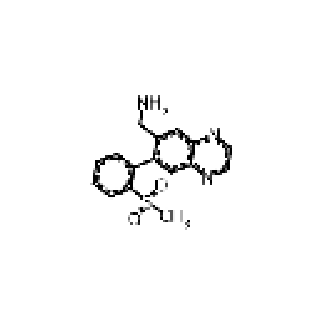 CS(=O)(=O)c1ccccc1-c1cc2nccnc2cc1CN